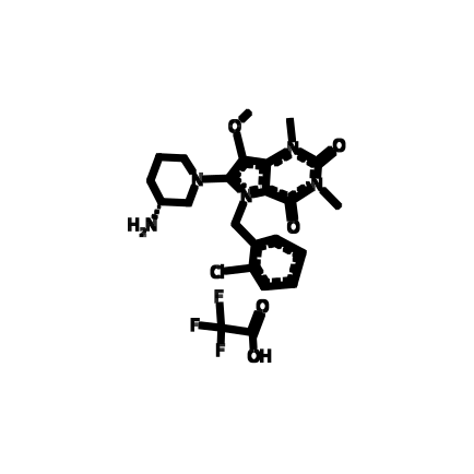 COc1c(N2CCC[C@@H](N)C2)n(Cc2ccccc2Cl)c2c(=O)n(C)c(=O)n(C)c12.O=C(O)C(F)(F)F